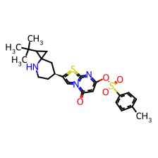 Cc1ccc(S(=O)(=O)Oc2cc(=O)n3cc([C@H]4CCNC5(CC5C(C)(C)C)C4)sc3n2)cc1